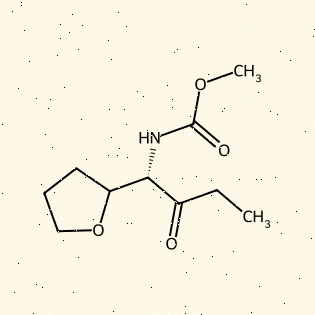 CCC(=O)[C@@H](NC(=O)OC)C1CCCO1